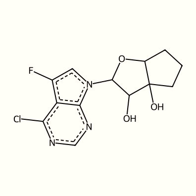 OC1C(n2cc(F)c3c(Cl)ncnc32)OC2CCCC21O